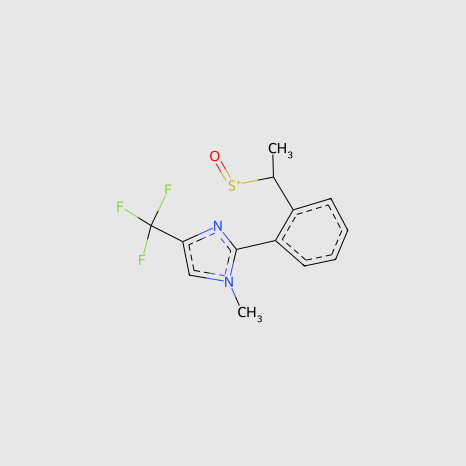 CC([S+]=O)c1ccccc1-c1nc(C(F)(F)F)cn1C